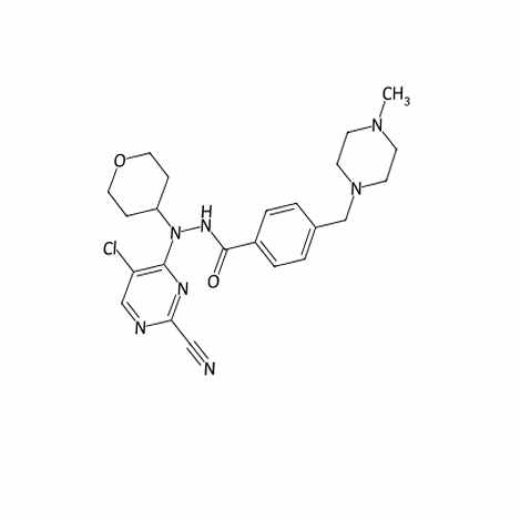 CN1CCN(Cc2ccc(C(=O)NN(c3nc(C#N)ncc3Cl)C3CCOCC3)cc2)CC1